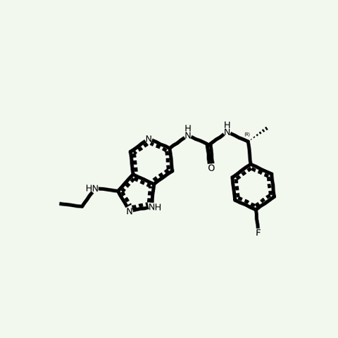 CCNc1n[nH]c2cc(NC(=O)N[C@H](C)c3ccc(F)cc3)ncc12